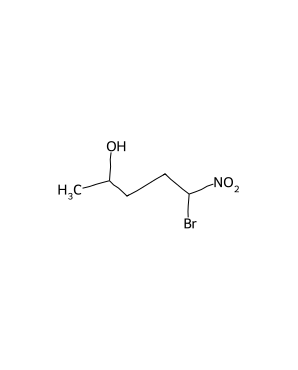 CC(O)CCC(Br)[N+](=O)[O-]